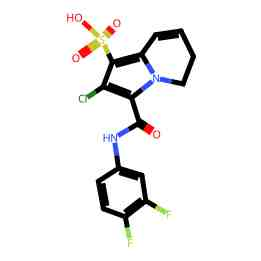 O=C(Nc1ccc(F)c(F)c1)c1c(Cl)c(S(=O)(=O)O)c2n1CCC=C2